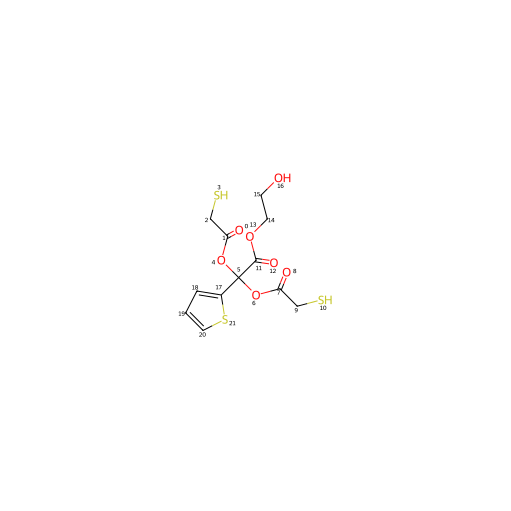 O=C(CS)OC(OC(=O)CS)(C(=O)OCCO)c1cccs1